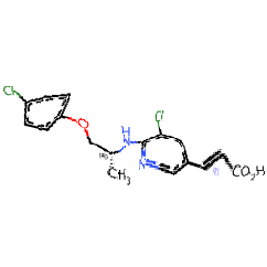 C[C@H](COc1ccc(Cl)cc1)Nc1ncc(/C=C/C(=O)O)cc1Cl